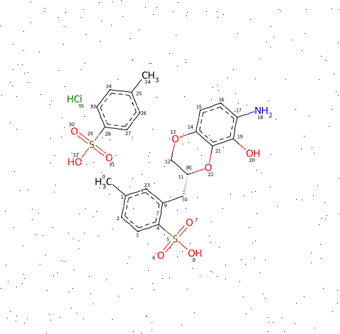 Cc1ccc(S(=O)(=O)O)c(C[C@@H]2COc3ccc(N)c(O)c3O2)c1.Cc1ccc(S(=O)(=O)O)cc1.Cl